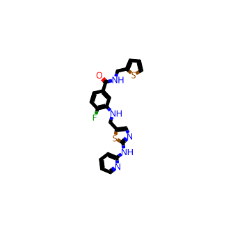 O=C(NCc1cccs1)c1ccc(F)c(NCc2cnc(Nc3ccccn3)s2)c1